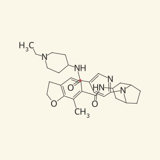 CCN1CCC(NC(=O)c2ccc(N3C4CCC3CC(NC(=O)c3ccc5c(c3C)OCC5)C4)nc2)CC1